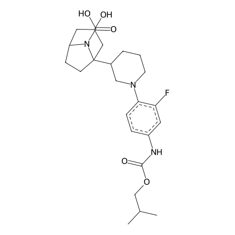 CC(C)COC(=O)Nc1ccc(N2CCCC(C34CCC(CC(O)C3)N4C(=O)O)C2)c(F)c1